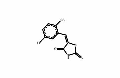 O=C1NC(=S)SC1=Cc1cc(Cl)ccc1C(F)(F)F